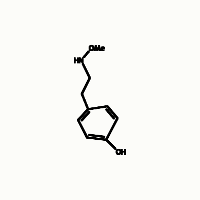 CONCCc1ccc(O)cc1